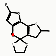 Fc1cc2c(s1)C1=C(CC(F)S1)C1(OCCO1)C21OCCO1